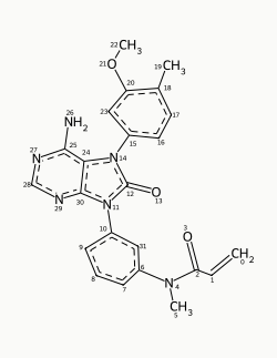 C=CC(=O)N(C)c1cccc(-n2c(=O)n(-c3ccc(C)c(OC)c3)c3c(N)ncnc32)c1